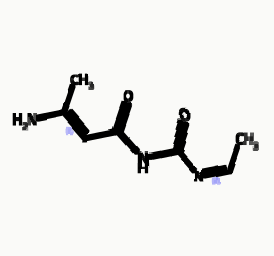 C/C=N\C(=O)NC(=O)/C=C(\C)N